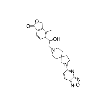 Cc1c([C@@H](O)CN2CCC3(CC2)CCN(c2ccc4nonc4n2)C3)ccc2c1COC2=O